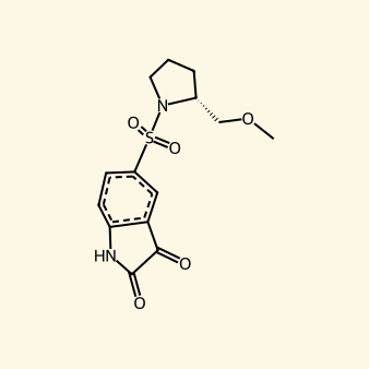 COC[C@H]1CCCN1S(=O)(=O)c1ccc2c(c1)C(=O)C(=O)N2